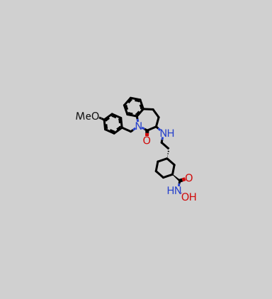 COc1ccc(CN2C(=O)C(NCC[C@H]3CCC[C@H](C(=O)NO)C3)CCc3ccccc32)cc1